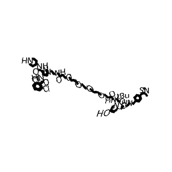 Cc1ncsc1-c1ccc(CNCOC[C@@H]2C[C@@H](O)CN2C(=O)[C@@H](NC(=O)CCOCCOCCOCCOCCC(=O)NCCn2cc(NC(=O)c3c(Cl)cccc3Cl)c(C(=O)NC3CCNCC3)n2)C(C)(C)C)cc1